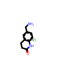 Cl.NCc1ccc2c(c1)CCC(=O)N2